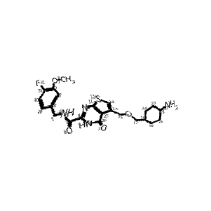 COc1cc(CNC(=O)c2nc3scc(COCC4CCC(N)CC4)c3c(=O)[nH]2)ccc1F